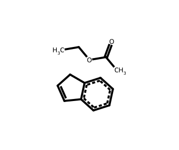 C1=Cc2ccccc2C1.CCOC(C)=O